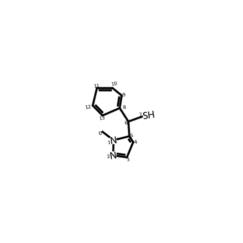 Cn1nccc1C(S)c1ccccc1